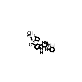 COCCN(C(=O)c1ccc2[nH]c(-c3nc4ccccc4[nH]c3=O)c(N)c2c1)C1CCCC1